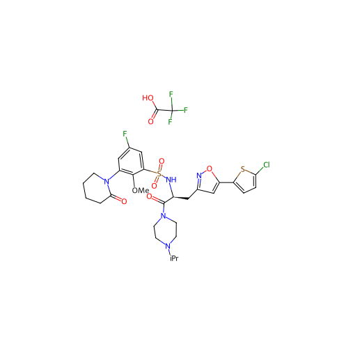 COc1c(N2CCCCC2=O)cc(F)cc1S(=O)(=O)N[C@@H](Cc1cc(-c2ccc(Cl)s2)on1)C(=O)N1CCN(C(C)C)CC1.O=C(O)C(F)(F)F